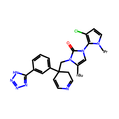 CCCCc1cn(-c2c(Cl)ccn2C(C)C)c(=O)n1CC1(c2cccc(-c3nnn[nH]3)c2)C=CN=CC1